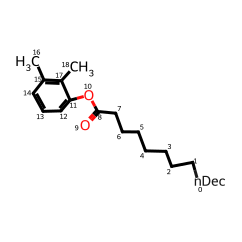 CCCCCCCCCCCCCCCCCC(=O)Oc1cccc(C)c1C